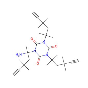 C#CC(C)(C)CC(C)(C)n1c(=O)n(C(C)(C)CC(C)(C)C#C)c(=O)n(C(C)(N)CC(C)(C)C#C)c1=O